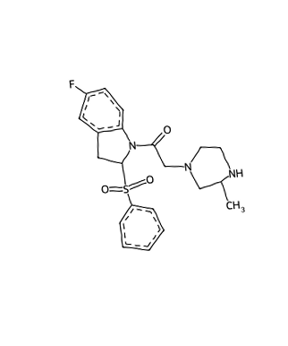 CC1CN(CC(=O)N2c3ccc(F)cc3CC2S(=O)(=O)c2ccccc2)CCN1